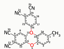 Cc1ccc(Oc2ccc(C#N)c(C#N)c2)c(Oc2ccc(C#N)c(C#N)c2)c1